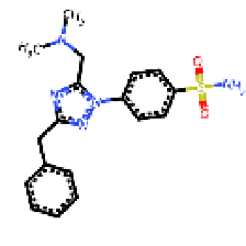 CN(C)Cc1nc(Cc2ccccc2)nn1-c1ccc(S(N)(=O)=O)cc1